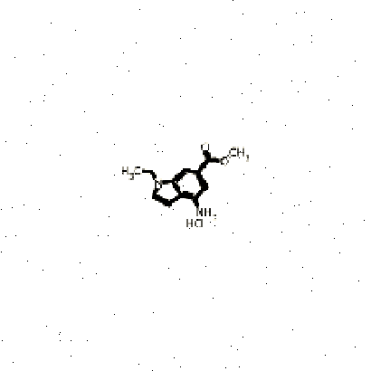 CCn1ccc2c(N)cc(C(=O)OC)cc21.Cl